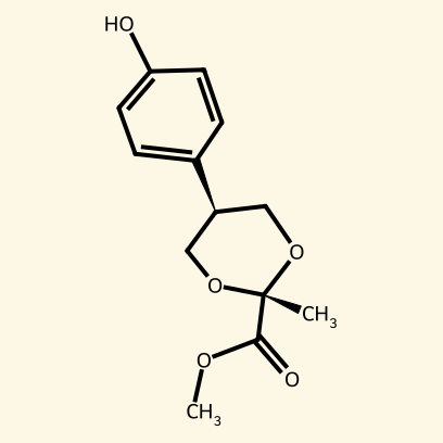 COC(=O)[C@]1(C)OC[C@@H](c2ccc(O)cc2)CO1